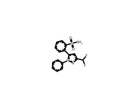 NS(=O)(=O)c1ccccc1-c1cc(C(F)F)nn1-c1ccccc1